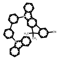 CC1(C)c2ccc(C#N)cc2-c2cc3c4ccccc4n(-c4cccc(-c5cccc(-n6c7ccccc7c7ccccc76)c5)c4)c3cc21